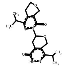 CC(C)c1n[nH]c(=O)c2c1COC(n1nc(C(C)C)c3c(c1=O)COCC3)C2